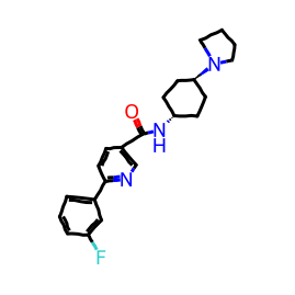 O=C(N[C@H]1CC[C@H](N2CCCC2)CC1)c1ccc(-c2cccc(F)c2)nc1